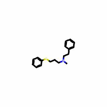 CN(CCCSc1ccccc1)CCc1ccccc1